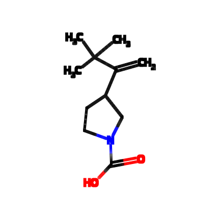 C=C(C1CCN(C(=O)O)C1)C(C)(C)C